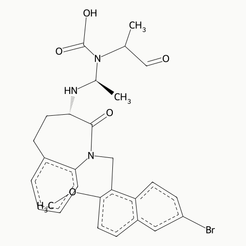 COc1ccc2cc(Br)ccc2c1CN1C(=O)[C@@H](N[C@H](C)N(C(=O)O)C(C)C=O)CCc2ccccc21